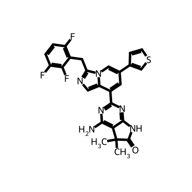 CC1(C)C(=O)Nc2nc(-c3cc(-c4ccsc4)cn4c(Cc5c(F)ccc(F)c5F)ncc34)nc(N)c21